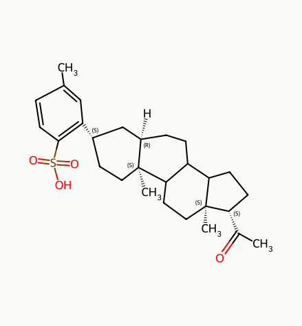 CC(=O)[C@H]1CCC2C3CC[C@@H]4C[C@@H](c5cc(C)ccc5S(=O)(=O)O)CC[C@]4(C)C3CC[C@@]21C